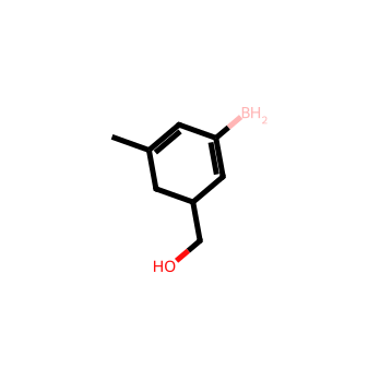 BC1=CC(CO)CC(C)=C1